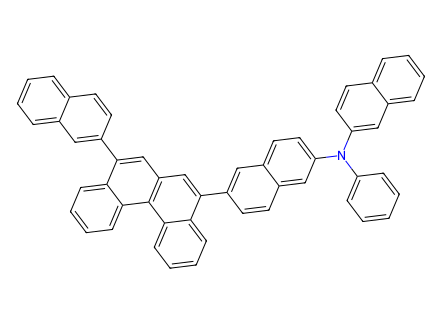 c1ccc(N(c2ccc3ccccc3c2)c2ccc3cc(-c4cc5cc(-c6ccc7ccccc7c6)c6ccccc6c5c5ccccc45)ccc3c2)cc1